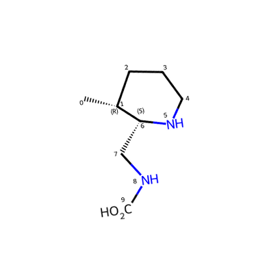 C[C@@H]1CCCN[C@@H]1CNC(=O)O